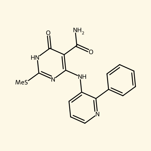 CSc1nc(Nc2cccnc2-c2ccccc2)c(C(N)=O)c(=O)[nH]1